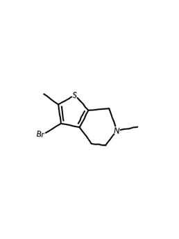 Cc1sc2c(c1Br)CCN(C)C2